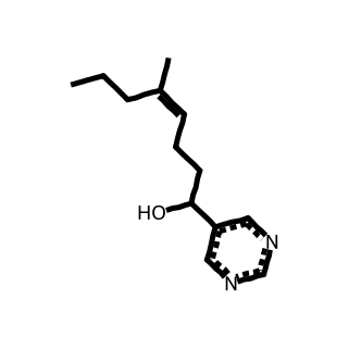 CCCC(C)=CCCC(O)c1cncnc1